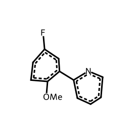 COc1ccc(F)cc1-c1ccccn1